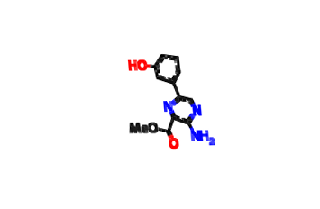 COC(=O)c1nc(-c2cccc(O)c2)cnc1N